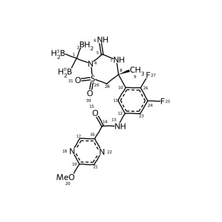 BC(B)(B)N1C(=N)N[C@](C)(c2cc(NC(=O)c3cnc(OC)cn3)cc(F)c2F)CS1(=O)=O